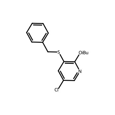 CC(C)COc1ncc(Cl)cc1SCc1ccccc1